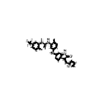 Cc1ccc(Nc2ccc3c(c2)NC(=O)C3=Cc2ccc[nH]2)cc1NC(=O)Nc1cc(C(F)(F)F)ccc1F